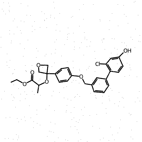 CCOC(=O)C(C)OC1(c2ccc(OCc3cccc(-c4ccc(O)cc4Cl)c3)cc2)COC1